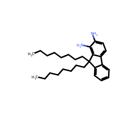 CCCCCCCCC1(CCCCCCCC)c2ccccc2-c2ccc(N)c(N)c21